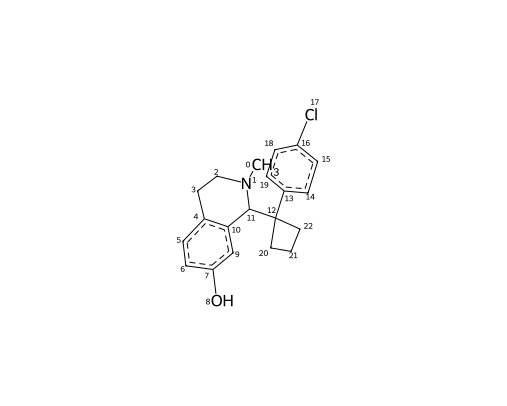 CN1CCc2ccc(O)cc2C1C1(c2ccc(Cl)cc2)CCC1